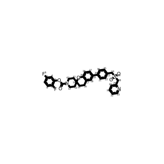 O=C(Oc1cc(F)ccc1F)N1CCC2(CCc3cc(-c4ccc(CS(=O)(=O)Cc5ccccn5)cc4)ccc3O2)CC1